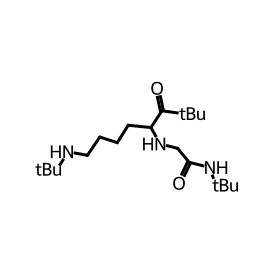 CC(C)(C)NCCCCC(NCC(=O)NC(C)(C)C)C(=O)C(C)(C)C